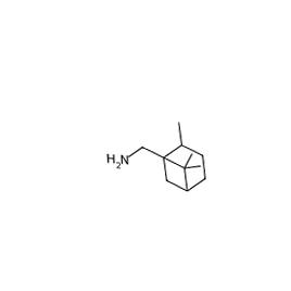 CC1CCC2CC1(CN)C2(C)C